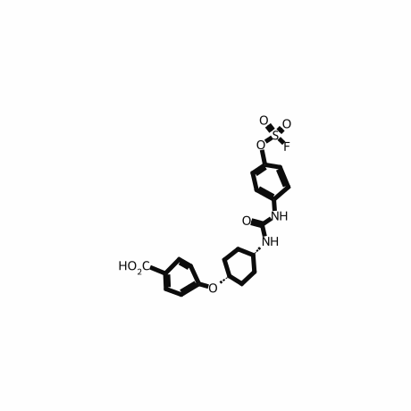 O=C(Nc1ccc(OS(=O)(=O)F)cc1)N[C@H]1CC[C@@H](Oc2ccc(C(=O)O)cc2)CC1